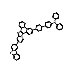 c1ccc(N(c2ccccc2)c2ccc(-c3ccc(-c4ccc5c(c4)c4ccccc4c4nc6cc(-c7ccc8oc9ccccc9c8c7)ccn6c54)cc3)cc2)cc1